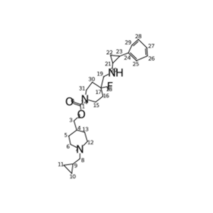 O=C(OCC1CCN(CC2CC2)CC1)N1CCC(F)(CNC2CC2c2ccccc2)CC1